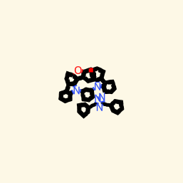 c1ccc(-c2nc(-c3ccccc3)n(-c3cccc4c5ccccc5n(-c5cccc(-n6c7ccccc7c7ccc8oc9ccccc9c8c76)c5)c34)n2)cc1